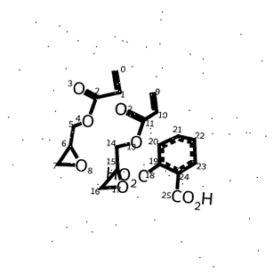 C=CC(=O)OCC1CO1.C=CC(=O)OCC1CO1.O=C(O)c1ccccc1C(=O)O